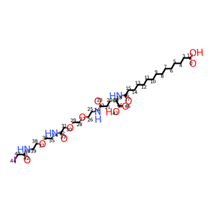 O=C(O)CCCCCCCCCCCCCC(=O)N[C@@H](CCC(=O)NCCOCCOCC(=O)NCCOCCNC(=O)CI)C(=O)O